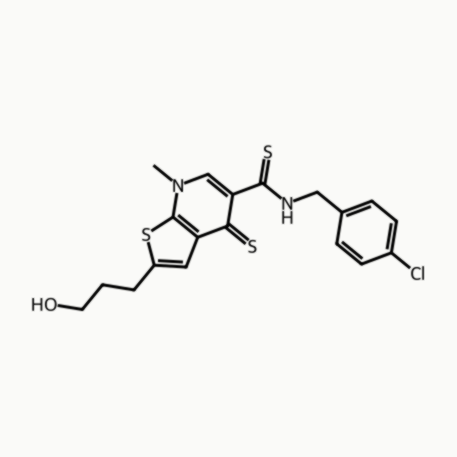 Cn1cc(C(=S)NCc2ccc(Cl)cc2)c(=S)c2cc(CCCO)sc21